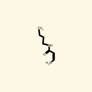 CCCCNC(=O)/C=C\N